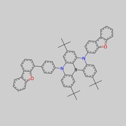 CC(C)(C)c1ccc2c(c1)B1c3cc(C(C)(C)C)ccc3N(c3ccc4c(c3)oc3ccccc34)c3cc(C(C)(C)C)cc(c31)N2c1ccc(-c2cccc3c2oc2ccccc23)cc1